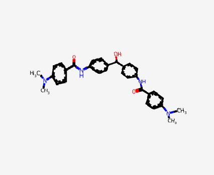 CN(C)c1ccc(C(=O)Nc2ccc(C(O)c3ccc(NC(=O)c4ccc(N(C)C)cc4)cc3)cc2)cc1